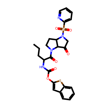 CCCC(NC(=O)Oc1cc2ccccc2s1)C(=O)N1CCC2C1C(=O)CN2S(=O)(=O)c1ccccn1